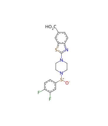 O=C(O)c1ccc2nc(N3CCN([S+]([O-])c4ccc(F)c(F)c4)CC3)sc2c1